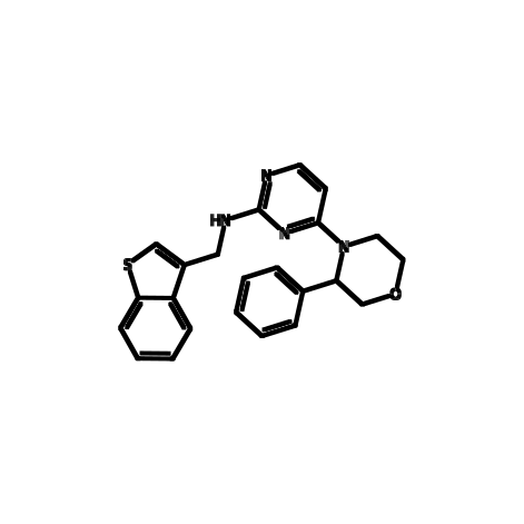 c1ccc(C2COCCN2c2ccnc(NCc3csc4ccccc34)n2)cc1